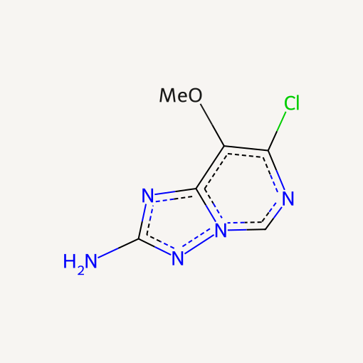 COc1c(Cl)ncn2nc(N)nc12